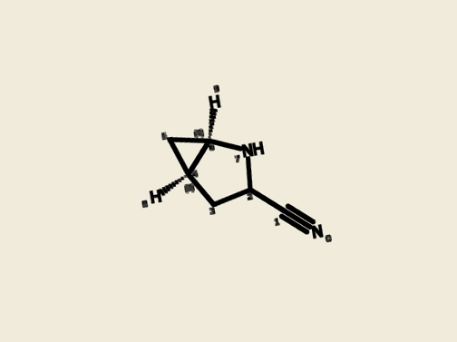 N#CC1C[C@H]2C[C@H]2N1